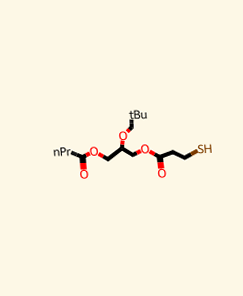 CCCC(=O)OCC(COC(=O)CCS)OCC(C)(C)C